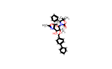 Cc1nc([C@H](O)[C@](C)(OCc2ccc(-c3ccccc3)cc2)C(=O)N2C(=O)OC(C)(C)[C@@H]2c2ccccc2)c(C)o1